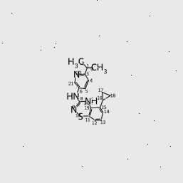 CC(C)c1ccc(NC2=NSc3cccc(C4CC4)c3N2)cn1